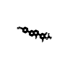 CCCc1ccc(-c2ccc3c(F)c(-c4cc(F)c(OC(F)F)c(F)c4)ccc3c2)cc1